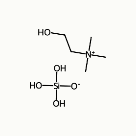 C[N+](C)(C)CCO.[O-][Si](O)(O)O